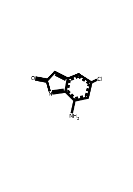 Nc1cc(Cl)cc2c1=NC(=O)C=2